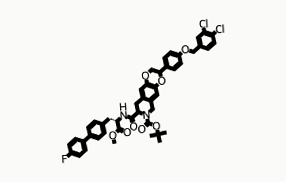 COC(=O)[C@H](Cc1ccc(-c2ccc(F)cc2)cc1)NC(=O)C1Cc2cc3c(cc2CN1C(=O)OC(C)(C)C)OC(c1ccc(OCc2ccc(Cl)c(Cl)c2)cc1)CO3